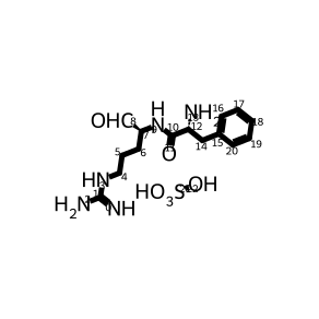 N=C(N)NCCC[C@@H](C=O)NC(=O)[C@H](N)Cc1ccccc1.O=S(=O)(O)O